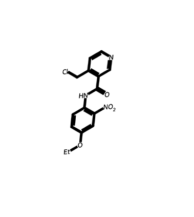 CCOc1ccc(NC(=O)c2cnccc2CCl)c([N+](=O)[O-])c1